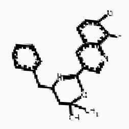 CC1(C)CC(Cc2ccccc2)N=C(c2cnc3c(F)c(Cl)ccc3c2)O1